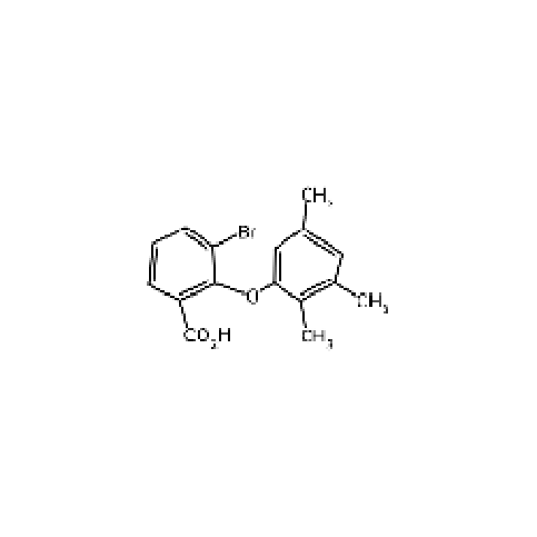 Cc1cc(C)c(C)c(Oc2c(Br)cccc2C(=O)O)c1